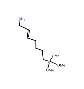 CO[Si](CCCCC=CCN)(OC)OC